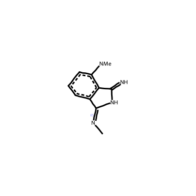 C/N=C1\NC(=N)c2c(NC)cccc21